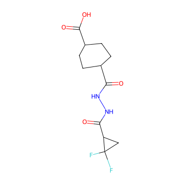 O=C(O)C1CCC(C(=O)NNC(=O)C2CC2(F)F)CC1